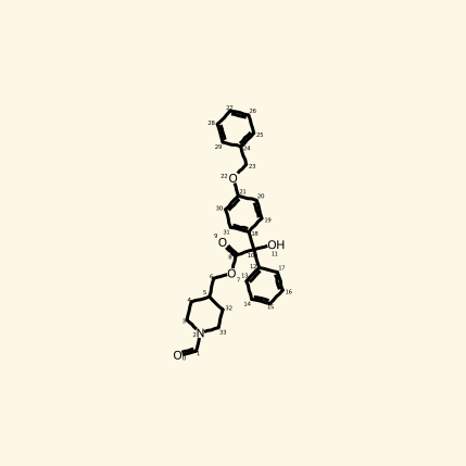 O=CN1CCC(COC(=O)C(O)(c2ccccc2)c2ccc(OCc3ccccc3)cc2)CC1